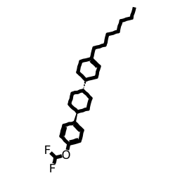 CCCCCCCC1=CCC([C@H]2CC[C@H](c3ccc(OC(F)F)cc3)CC2)CC1